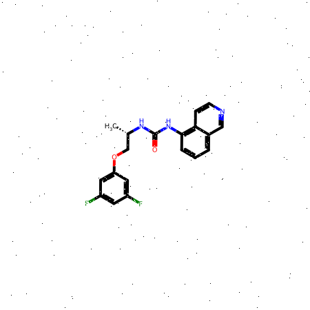 C[C@@H](COc1cc(F)cc(F)c1)NC(=O)Nc1cccc2cnccc12